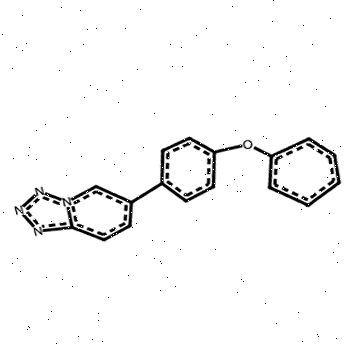 c1ccc(Oc2ccc(-c3ccc4nnnn4c3)cc2)cc1